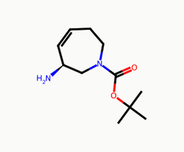 CC(C)(C)OC(=O)N1CCC=C[C@H](N)C1